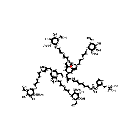 COP(=O)(O)OC[C@H]1OCCC1OP(=O)(O)OCCCCCCNC(=O)[C@H](CCCCN(Cc1cn(CCOCCO[C@@H]2O[C@H](CO)[C@H](O)[C@H](O)[C@H]2NC(C)=O)nn1)Cc1cn(CCOCCO[C@@H]2O[C@H](CO)[C@H](O)[C@H](O)[C@H]2NC(C)=O)nn1)N(Cc1cn(CCOCCO[C@@H]2O[C@H](CO)[C@H](O)[C@H](O)[C@H]2NC(C)=O)nn1)Cc1cn(CCOCCO[C@@H]2O[C@H](CO)[C@H](O)[C@H](O)[C@H]2NC(C)=O)nn1